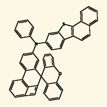 c1ccc(N(c2ccc3c(c2)C2(c4ccccc4Oc4ccccc42)c2cccc4cccc-3c24)c2ccc3c(c2)sc2c4ccccc4ccc32)cc1